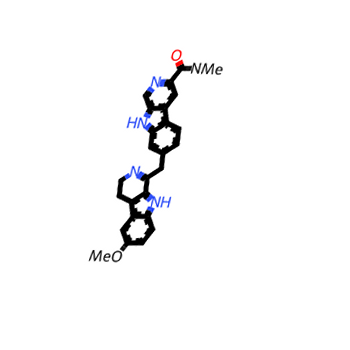 CNC(=O)c1cc2c(cn1)[nH]c1cc(CC3=NCCc4c3[nH]c3ccc(OC)cc43)ccc12